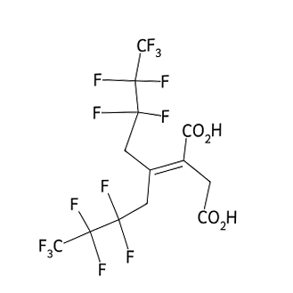 O=C(O)CC(C(=O)O)=C(CC(F)(F)C(F)(F)C(F)(F)F)CC(F)(F)C(F)(F)C(F)(F)F